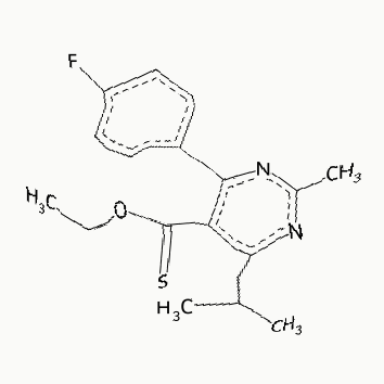 CCOC(=S)c1c(-c2ccc(F)cc2)nc(C)nc1C(C)C